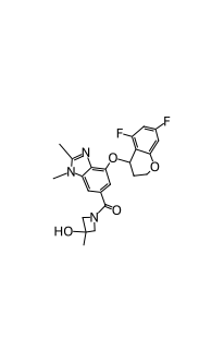 Cc1nc2c(OC3CCOc4cc(F)cc(F)c43)cc(C(=O)N3CC(C)(O)C3)cc2n1C